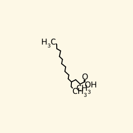 CCCCCCCCCCCC(CC)CC(C)C(=O)O